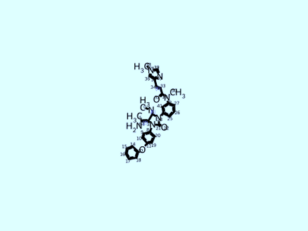 C/N=C1\C(=C(/C)N)N(c2ccc(Oc3ccccc3)cc2)C(=O)N1c1cccc(N(C)C(=O)/C=C/c2cn(C)cn2)c1